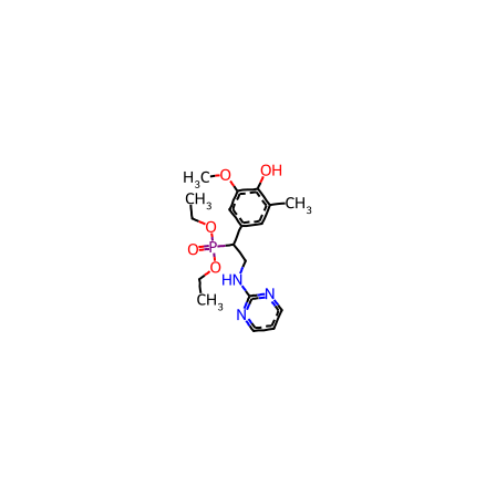 CCOP(=O)(OCC)C(CNc1ncccn1)c1cc(C)c(O)c(OC)c1